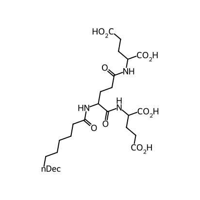 CCCCCCCCCCCCCCCC(=O)NC(CCC(=O)NC(CCC(=O)O)C(=O)O)C(=O)NC(CCC(=O)O)C(=O)O